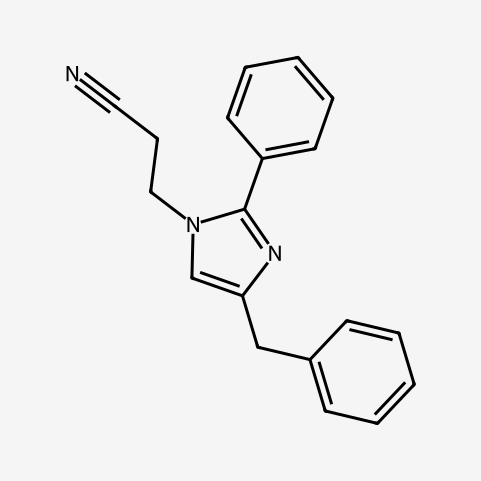 N#CCCn1cc(Cc2ccccc2)nc1-c1ccccc1